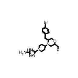 Nc1nnc(N2CCC(N3CC(CF)OCC3Cc3ccc(Br)cc3)CC2)[nH]1